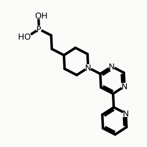 OP(O)CCC1CCN(c2cc(-c3ccccn3)ncn2)CC1